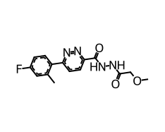 COCC(=O)NNC(=O)c1ccc(-c2ccc(F)cc2C)nn1